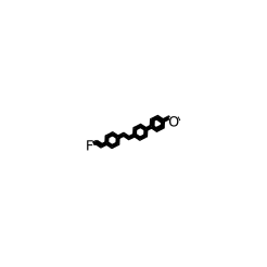 COCc1ccc(C2CCC(CCC3CCC(/C=C/F)CC3)CC2)cc1